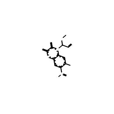 COC(C=O)n1c(=O)c(=O)[nH]c2cc([N+](=O)[O-])c(Cl)cc21